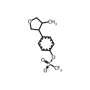 CC1COCC1c1ccc(OS(=O)(=O)C(F)(F)F)cc1